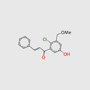 COCc1cc(O)cc(C(=O)/C=C/c2ccccc2)c1Cl